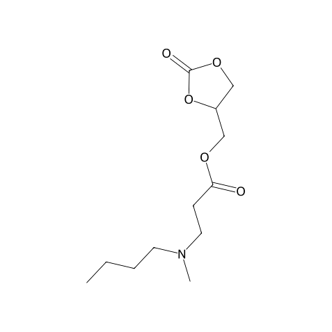 CCCCN(C)CCC(=O)OCC1COC(=O)O1